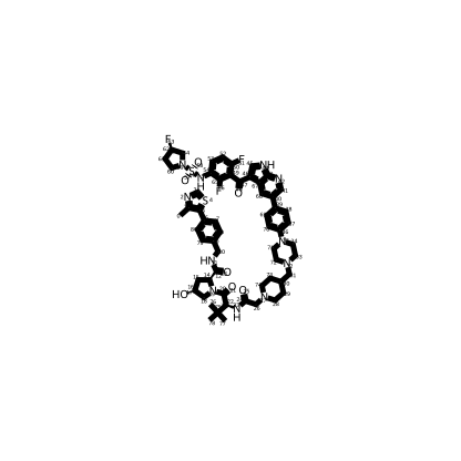 Cc1ncsc1-c1ccc(CNC(=O)[C@@H]2C[C@@H](O)CN2C(=O)[C@@H](NC(=O)CN2CCC(CN3CCN(c4ccc(-c5cnc6[nH]cc(C(=O)c7c(F)ccc(NS(=O)(=O)N8CC[C@@H](F)C8)c7F)c6c5)cc4)CC3)CC2)C(C)(C)C)cc1